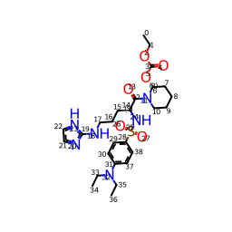 CCOC(=O)O[C@@H]1CCCCN1C(=O)[C@H](CCCNc1ncc[nH]1)NS(=O)(=O)c1ccc(N(CC)CC)cc1